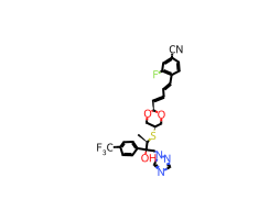 C[C@@H](S[C@H]1CO[C@H](/C=C/C=C/c2ccc(C#N)cc2F)OC1)[C@](O)(Cn1cncn1)c1ccc(C(F)(F)F)cc1